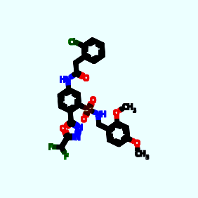 COc1ccc(CNS(=O)(=O)c2cc(NC(=O)Cc3ccccc3Cl)ccc2-c2nnc(C(F)F)o2)c(OC)c1